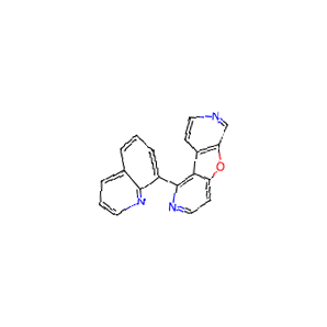 c1cnc2c(-c3nccc4oc5cnccc5c34)cccc2c1